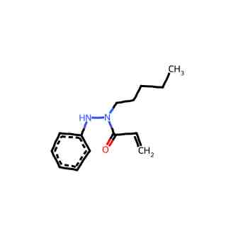 C=CC(=O)N(CCCCC)Nc1ccccc1